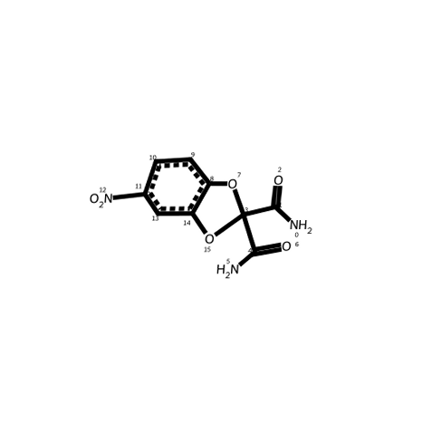 NC(=O)C1(C(N)=O)Oc2ccc([N+](=O)[O-])cc2O1